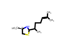 CC(C)=CCCC(C)C1N[C@H](C(=O)O)CS1